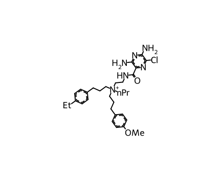 CCC[N+](CCCc1ccc(CC)cc1)(CCCc1ccc(OC)cc1)CCNC(=O)c1nc(Cl)c(N)nc1N